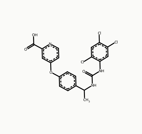 CC(NC(=O)Nc1cc(Cl)c(Cl)cc1Cl)c1ccc(Oc2ccnc(C(=O)O)c2)cc1